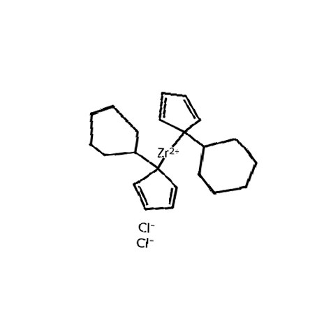 C1=C[C]([Zr+2][C]2(C3CCCCC3)C=CC=C2)(C2CCCCC2)C=C1.[Cl-].[Cl-]